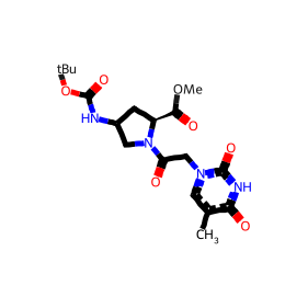 COC(=O)[C@@H]1CC(NC(=O)OC(C)(C)C)CN1C(=O)Cn1cc(C)c(=O)[nH]c1=O